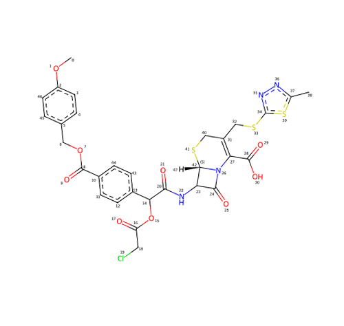 COc1ccc(COC(=O)c2ccc(C(OC(=O)CCl)C(=O)NC3C(=O)N4C(C(=O)O)=C(CSc5nnc(C)s5)CS[C@@H]34)cc2)cc1